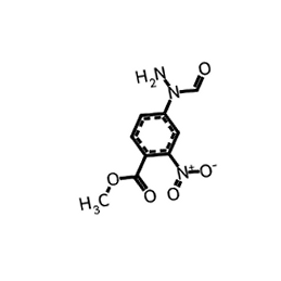 COC(=O)c1ccc(N(N)C=O)cc1[N+](=O)[O-]